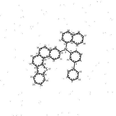 c1ccc(-c2cccc(N(c3ccc4c(ccc5ccc6c7ccccc7sc6c54)c3)c3cccc4ccccc34)c2)cc1